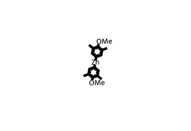 COc1c(C)c[c]([Zn][c]2cc(C)c(OC)c(C)c2)cc1C